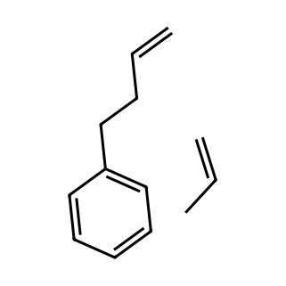 C=CC.C=CCCc1ccccc1